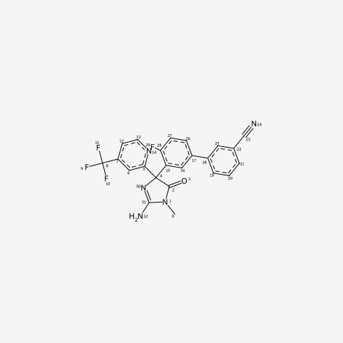 CN1C(=O)C(c2cc(C(F)(F)F)ccn2)(c2cc(-c3cccc(C#N)c3)ccc2F)N=C1N